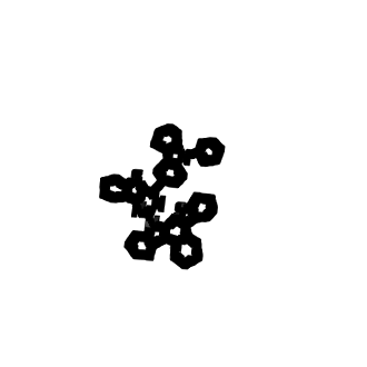 c1ccc(-n2c3ccccc3c3cc(-c4nc(-n5c6ccccc6c6c7ccccc7c7c8ccccc8sc7c65)nc5c4sc4ccccc45)ccc32)cc1